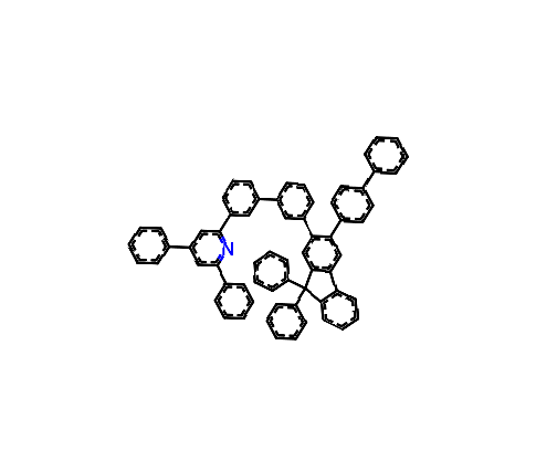 c1ccc(-c2ccc(-c3cc4c(cc3-c3cccc(-c5cccc(-c6cc(-c7ccccc7)cc(-c7ccccc7)n6)c5)c3)C(c3ccccc3)(c3ccccc3)c3ccccc3-4)cc2)cc1